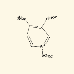 CCCCCCCCCC[n+]1ccc(CCCCCCCCC)c(CCCCCCCCC)c1